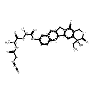 CC[C@@]1(O)C(=O)OCc2c1cc1n(c2=S)Cc2cc3cc(NC(=O)[C@H](C)NC(=O)[C@H](C)NC(=O)CN=[N+]=[N-])ccc3nc2-1